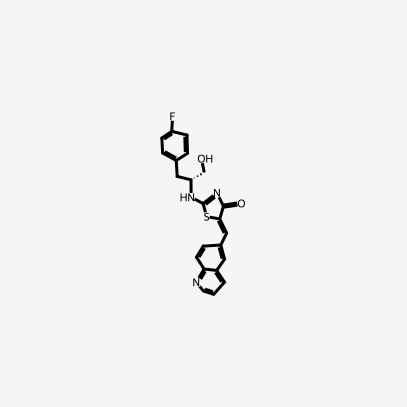 O=C1N=C(N[C@@H](CO)Cc2ccc(F)cc2)S/C1=C\c1ccc2ncccc2c1